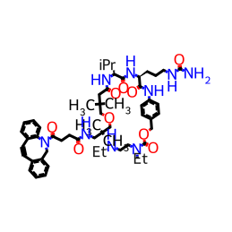 CCNCCN(CC)C(=O)OCc1ccc(NC(=O)[C@H](CCCNC(N)=O)NC(=O)[C@@H](NC(=O)CC(C)(C)COCC(C)(C)CNC(=O)CCC(=O)N2Cc3ccccc3C#Cc3ccccc32)C(C)C)cc1